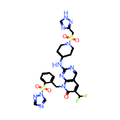 O=c1c(C(F)F)cc2cnc(NC3CCN(S(=O)(=O)Cc4nc[nH]n4)CC3)nc2n1Cc1ccccc1S(=O)(=O)n1cncn1